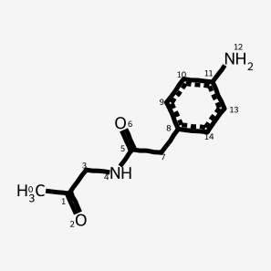 CC(=O)CNC(=O)Cc1ccc(N)cc1